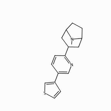 CN1C2CCC1CC(c1ccc(-c3ccsc3)cn1)C2